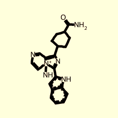 NC(=O)C1CCC(C2=C3C=NC=C[N+]3(N)C(c3cc4ccccc4[nH]3)=N2)CC1